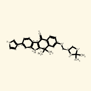 CC1(C)OC[C@H](COc2ccc3c(c2)C(C)(C)c2[nH]c4cc(-c5ccsc5)ccc4c2C3=O)O1